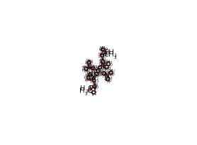 CC1(C)c2ccccc2-c2ccc(-c3ccc(N(c4ccc5c(-c6ccc(N(c7ccccc7)c7ccccc7)cc6)c6cc(N(c7ccc(-c8ccc9c(c8)C(C)(C)c8ccccc8-9)cc7)c7cccc8ccccc78)ccc6c(-c6ccc(N(c7ccccc7)c7ccccc7)cc6)c5c4)c4cccc5ccccc45)cc3)cc21